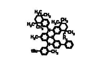 Cc1cc2c3c(c1)N(c1cc(C(C)(C)C)ccc1C)c1ccc(-c4ccccc4)cc1B3c1cc3c(cc1N2c1ccc2c(c1)C(C)(C)CCC2(C)C)C(C)(C)CCC3(C)C